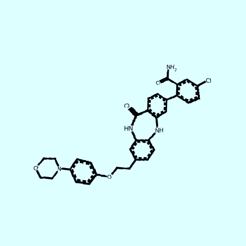 NC(=O)c1cc(Cl)ccc1-c1ccc2c(c1)Nc1ccc(CCOc3ccc(N4CCOCC4)cc3)cc1NC2=O